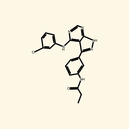 CCC(=O)Nc1cccc(-c2n[nH]c3ncnc(Nc4cccc(Cl)c4)c23)c1